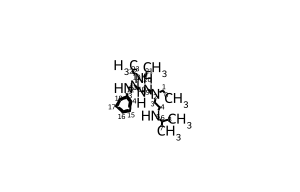 CCN(CCNC(C)C)NNN(Nc1ccccc1)N(CC)CC